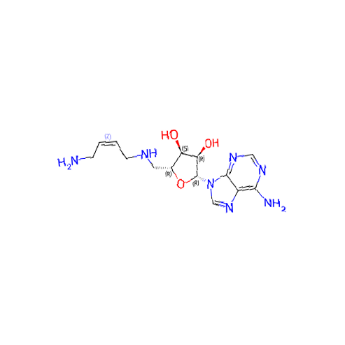 NC/C=C\CNC[C@H]1O[C@@H](n2cnc3c(N)ncnc32)[C@H](O)[C@@H]1O